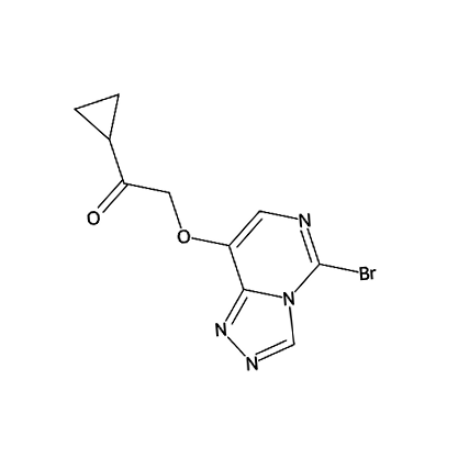 O=C(COc1cnc(Br)n2cnnc12)C1CC1